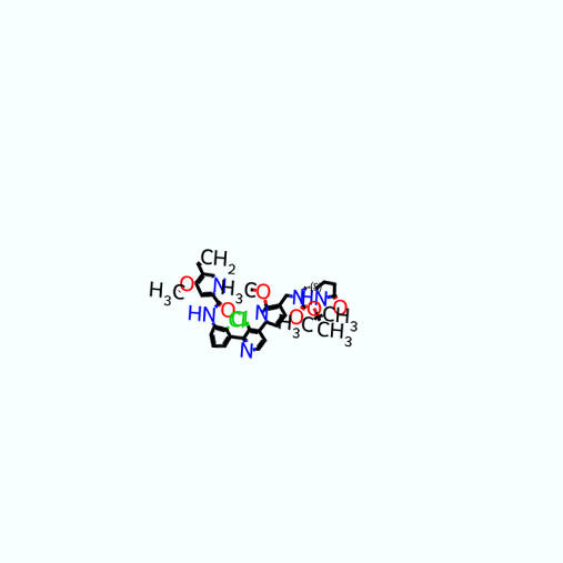 C=Cc1cnc(C(=O)Nc2cccc(-c3nccc(-c4ccc(CN(C[C@@H]5CCC(=O)N5)C(=O)OC(C)(C)C)c(OC)n4)c3Cl)c2Cl)cc1OC